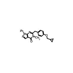 CC(C)n1ncc2c(=O)n(C)c(Cc3ccc(OCC4CC4)cc3)nc21